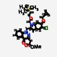 COC(=O)Cc1nn(CC2=CC3C=C(Cl)C(OCC4CC4)=CC3N2COCCS(C)(C)C)c2ccccc2c1=O